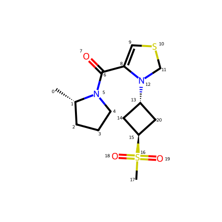 C[C@H]1CCCN1C(=O)C1=CSCN1[C@H]1C[C@H](S(C)(=O)=O)C1